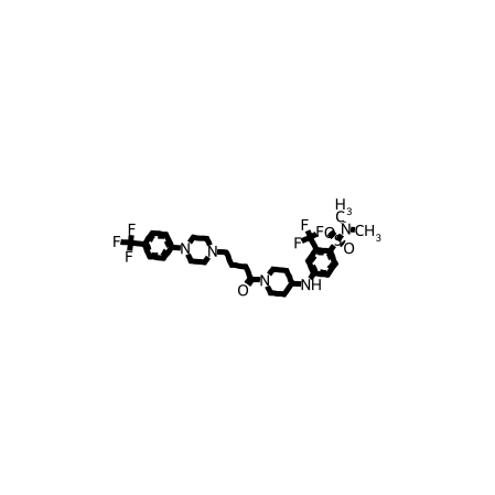 CN(C)S(=O)(=O)c1ccc(NC2CCN(C(=O)CCCN3CCN(c4ccc(C(F)(F)F)cc4)CC3)CC2)cc1C(F)(F)F